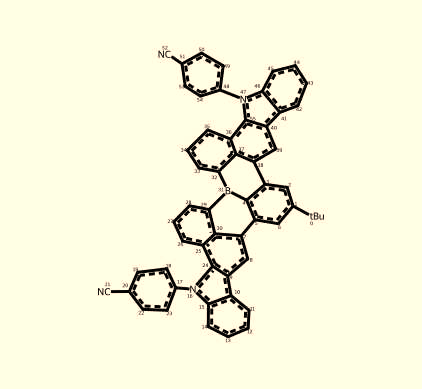 CC(C)(C)c1cc2c3c(c1)-c1cc4c5ccccc5n(-c5ccc(C#N)cc5)c4c4cccc(c14)B3c1cccc3c1c-2cc1c2ccccc2n(-c2ccc(C#N)cc2)c31